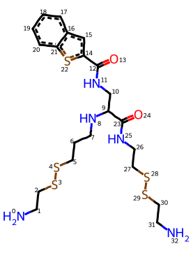 NCCSSCCCNC(CNC(=O)c1cc2ccccc2s1)C(=O)NCCSSCCN